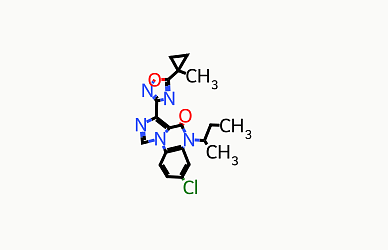 CCC(C)n1c(=O)c2c(-c3noc(C4(C)CC4)n3)ncn2c2ccc(Cl)cc21